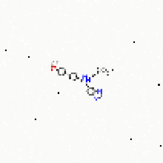 O=C(O)CCCN1N=C(c2ccc(-c3ccc(OC(F)(F)F)cc3)cc2)CC1c1ccc2nccnc2c1